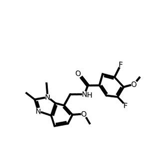 COc1ccc2nc(C)n(C)c2c1CNC(=O)c1cc(F)c(OC)c(F)c1